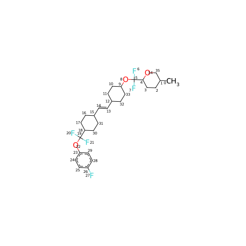 CC1CCC(C(F)(F)OC2CCC(/C=C/C3CCC(C(F)(F)Oc4ccc(F)cc4)CC3)CC2)OC1